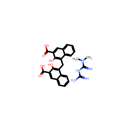 CN(C)C(=N)NC(=N)N.O=C(O)c1cc2ccccc2c(Cc2c(O)c(C(=O)O)cc3ccccc23)c1O